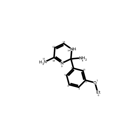 CCOc1cccc(C2(N)N=C(N)C=CN2)c1